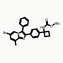 Cc1cc(Br)cn2c(-c3ccccc3)c(-c3ccc(C4(NC(=O)OC(C)(C)C)CCC4)cc3)nc12